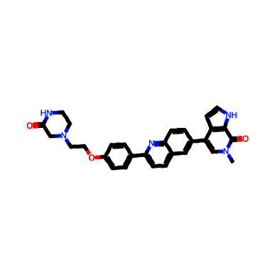 Cn1cc(-c2ccc3nc(-c4ccc(OCCN5CCNC(=O)C5)cc4)ccc3c2)c2cc[nH]c2c1=O